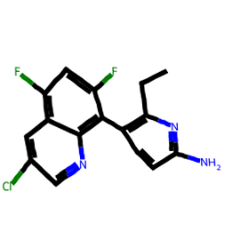 CCc1nc(N)ccc1-c1c(F)cc(F)c2cc(Cl)cnc12